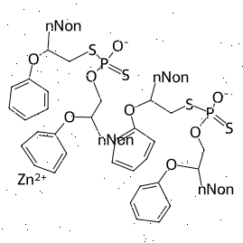 CCCCCCCCCC(COP([O-])(=S)SCC(CCCCCCCCC)Oc1ccccc1)Oc1ccccc1.CCCCCCCCCC(COP([O-])(=S)SCC(CCCCCCCCC)Oc1ccccc1)Oc1ccccc1.[Zn+2]